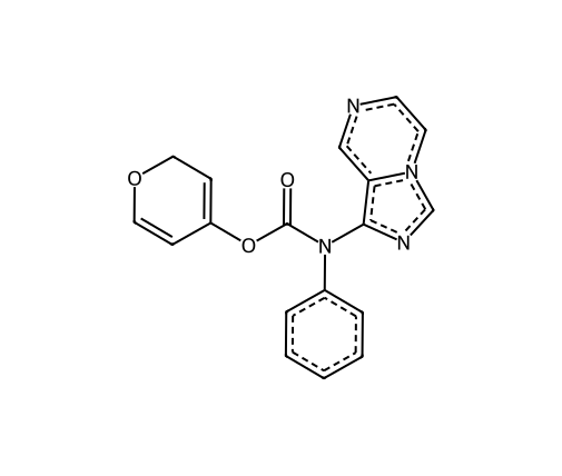 O=C(OC1=CCOC=C1)N(c1ccccc1)c1ncn2ccncc12